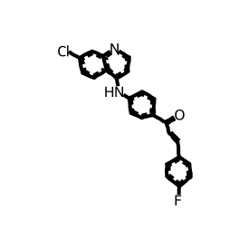 O=C(C=Cc1ccc(F)cc1)c1ccc(Nc2ccnc3cc(Cl)ccc23)cc1